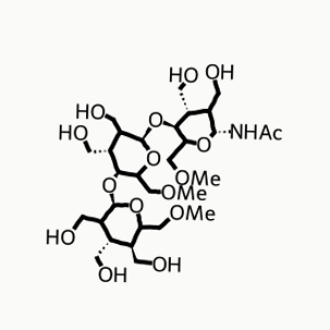 COCC1O[C@H](O[C@@H]2C(COC)O[C@H](O[C@@H]3C(COC)O[C@@H](NC(C)=O)C(CO)[C@H]3CO)C(CO)[C@H]2CO)C(CO)[C@@H](CO)[C@@H]1CO